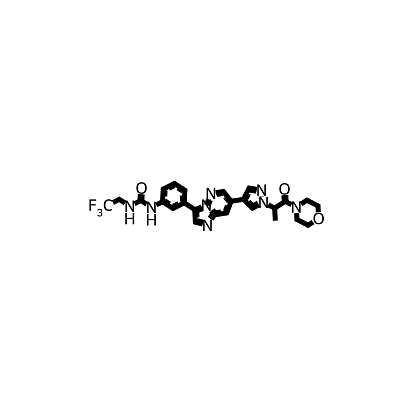 CC(C(=O)N1CCOCC1)n1cc(-c2cnn3c(-c4cccc(NC(=O)NCC(F)(F)F)c4)cnc3c2)cn1